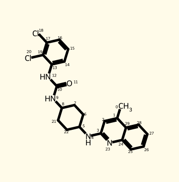 Cc1cc(NC2CCC(NC(=O)Nc3cccc(Cl)c3Cl)CC2)nc2ccccc12